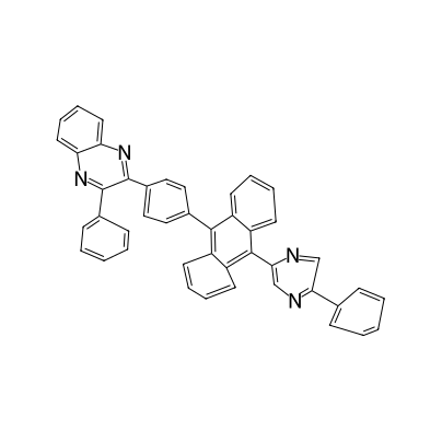 c1ccc(-c2cnc(-c3c4ccccc4c(-c4ccc(-c5nc6ccccc6nc5-c5ccccc5)cc4)c4ccccc34)cn2)cc1